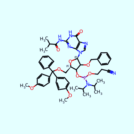 COc1ccc(C(OC[C@H]2O[C@@H](n3cnc4c(=O)[nH]c(NC(=O)C(C)C)nc43)C(OCc3ccccc3)C2OP(OCCC#N)N(C(C)C)C(C)C)(c2ccccc2)c2ccc(OC)cc2)cc1